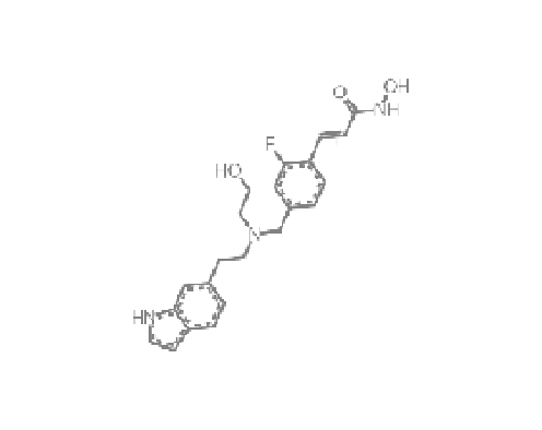 O=C(/C=C/c1ccc(CN(CCO)CCc2ccc3cc[nH]c3c2)cc1F)NO